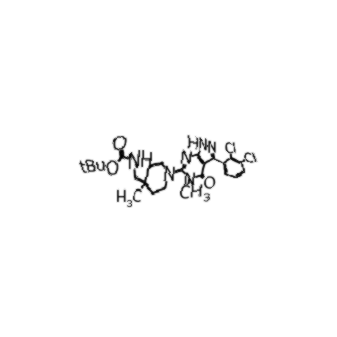 Cn1c(N2CCC(C)(CNC(=O)OC(C)(C)C)CC2)nc2[nH]nc(-c3cccc(Cl)c3Cl)c2c1=O